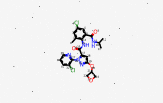 Cc1cc(Cl)cc(C(=O)NC(C)C)c1NC(=O)c1cc(OC2COC2)nn1-c1ncccc1Cl